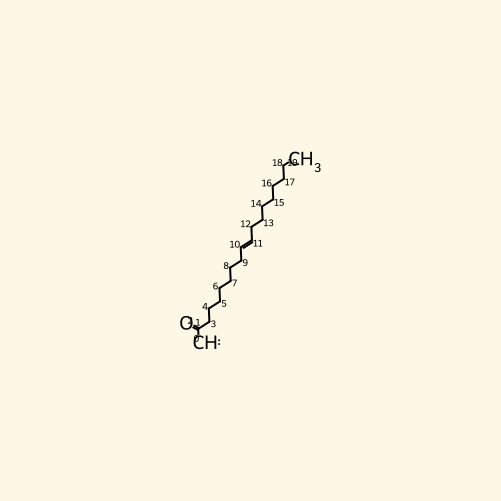 [CH]C(=O)CCCCCCCC=CCCCCCCCC